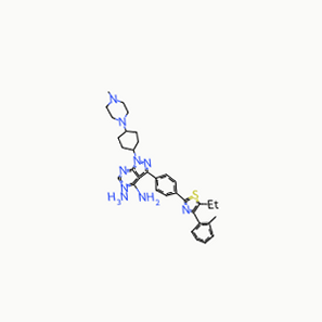 CCc1sc(-c2ccc(-c3nn(C4CCC(N5CCN(C)CC5)CC4)c4ncnc(N)c34)cc2)nc1-c1ccccc1C.N